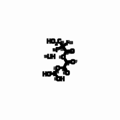 O=C(OB(O)O)C(=O)OC(=O)C(F)(F)C(=O)O.[LiH]